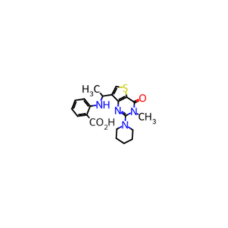 CC(Nc1ccccc1C(=O)O)c1csc2c(=O)n(C)c(N3CCCCC3)nc12